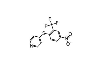 O=[N+]([O-])c1ccc(Sc2ccncc2)c(C(F)(F)F)c1